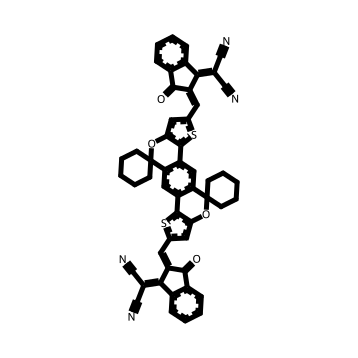 N#CC(C#N)=C1/C(=C/c2cc3c(s2)-c2cc4c(cc2C2(CCCCC2)O3)-c2sc(/C=C3\C(=O)c5ccccc5C3=C(C#N)C#N)cc2OC42CCCCC2)C(=O)c2ccccc21